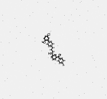 COc1ccc(Cl)cc1N1CCN(CCCNc2nccc(C(=O)N3CCN(C)CC3)n2)CC1